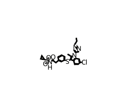 CCCn1cc(-n2c(C)c(Sc3cccc(CC(=O)NS(=O)(=O)C4CC4)c3)c3ccc(Cl)cc32)cn1